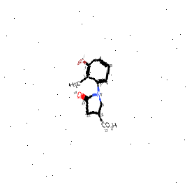 Cc1c(Br)cccc1N1CC(C(=O)O)CC1=O